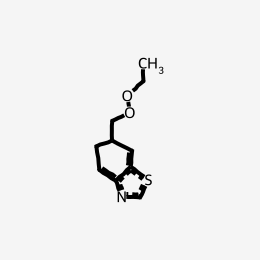 CCOOCC1C=c2scnc2=CC1